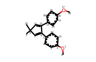 COc1ccc(C2=CC(C)(C)C=C2c2ccc(OC)cc2)cc1